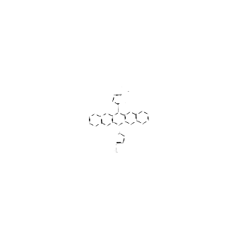 C[Si](C)(C)c1ccc(-c2c3cc4ccccc4cc3c(-c3ccc([Si](C)(C)C)s3)c3cc4ccccc4cc23)s1